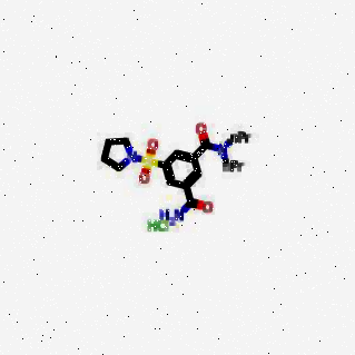 CCCN(CCC)C(=O)c1cc(C(N)=O)cc(S(=O)(=O)N2CCCC2)c1.Cl